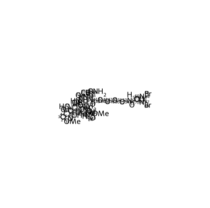 COc1cccc2c1C(=O)c1c(O)c3c(c(O)c1C2=O)C[C@@](O)(C(=O)NNC(=O)[C@H](C)NC(=O)[C@H](CC(N)=O)NC(=O)CCOCCOCCOCCOCCNC(=O)c1ccc2nc(CBr)c(CBr)nc2c1)C[C@@H]3O[C@H]1C[C@H]2[C@H](O[C@@H]3[C@@H](OC)OCCN32)[C@H](C)O1